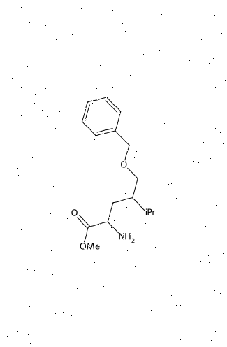 COC(=O)C(N)CC(COCc1ccccc1)C(C)C